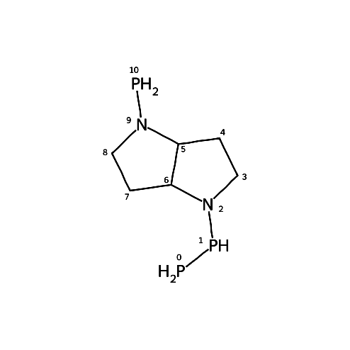 PPN1CCC2C1CCN2P